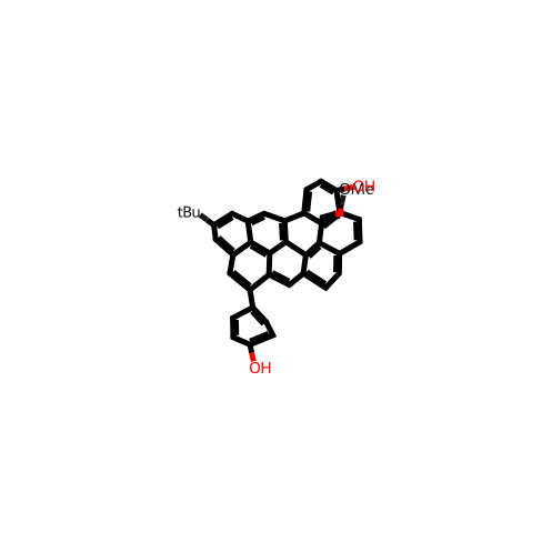 COc1ccc2ccc3cc4c(-c5ccc(O)cc5)cc5cc(C(C)(C)C)cc6cc(-c7ccc(O)cc7)c(c3c2c1)c4c56